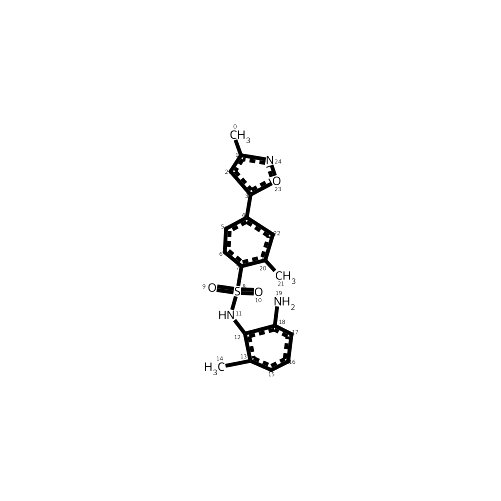 Cc1cc(-c2ccc(S(=O)(=O)Nc3c(C)cccc3N)c(C)c2)on1